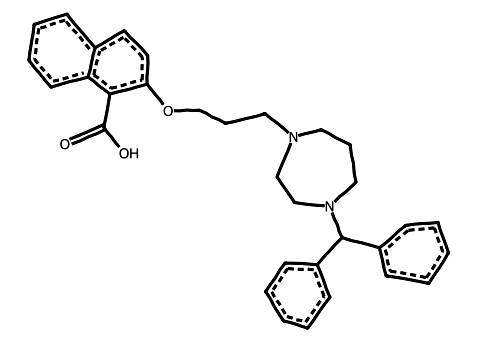 O=C(O)c1c(OCCCN2CCCN(C(c3ccccc3)c3ccccc3)CC2)ccc2ccccc12